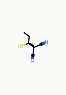 CCC(S)=C(C#N)C#N